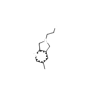 Cc1cnc2c(c1)CN(CCO)C2